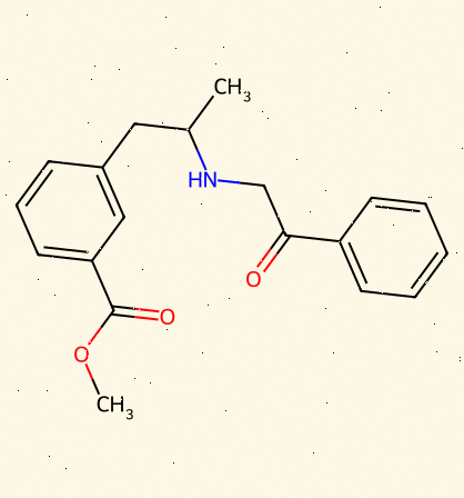 COC(=O)c1cccc(CC(C)NCC(=O)c2ccccc2)c1